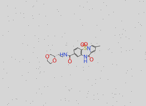 Cc1cc2n(c1)S(=O)(=O)c1ccc(C(=O)NCC[C@H]3COCCO3)cc1NC2=O